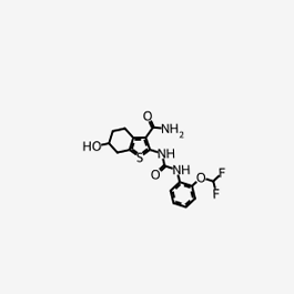 NC(=O)c1c(NC(=O)Nc2ccccc2OC(F)F)sc2c1CCC(O)C2